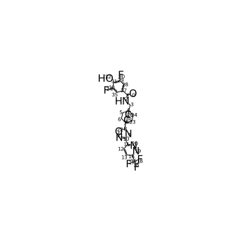 O=C(NCC12CCC(c3nc(-c4ccc(C(F)(F)F)nn4)no3)(CC1)CC2)c1cc(F)c(O)c(F)c1